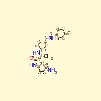 C/C(Nc1ccc(CNCc2ccc(Cl)cc2)cc1)=C1/C(=O)Nc2ccc(N)cc21